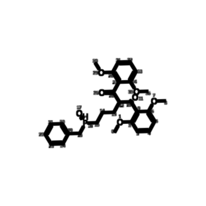 COc1cccc(OC)c1C(=O)C(CCC[PH](=O)Cc1ccccc1)C(=O)c1c(OC)cccc1OC